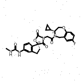 CNC(=O)Nc1ccc2c(c1)CC[C@@]21OC(=O)N(CC(=O)N2Cc3cc(F)ccc3OC[C@@H]2C2CC2)C1=O